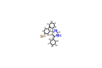 Brc1cccc(C2(c3ccccc3)C=C(c3ccccc3)NC=N2)c1